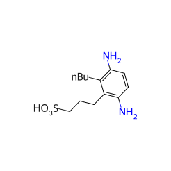 CCCCc1c(N)ccc(N)c1CCCS(=O)(=O)O